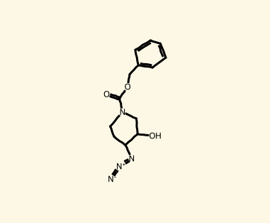 [N-]=[N+]=NC1CCN(C(=O)OCc2ccccc2)CC1O